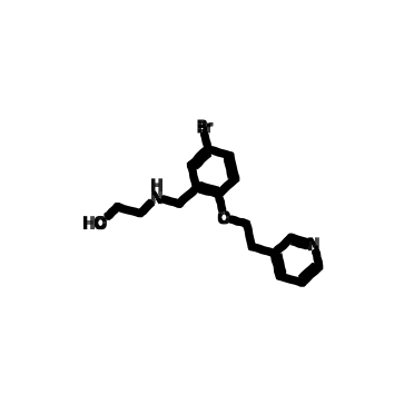 OCCNCc1cc(Br)ccc1OCCc1cccnc1